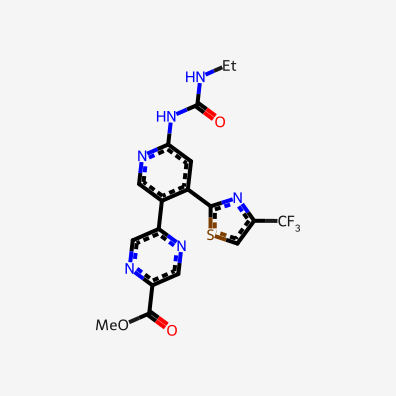 CCNC(=O)Nc1cc(-c2nc(C(F)(F)F)cs2)c(-c2cnc(C(=O)OC)cn2)cn1